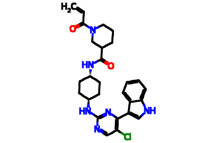 C=CC(=O)N1CCCC(C(=O)N[C@H]2CC[C@H](Nc3ncc(Cl)c(-c4c[nH]c5ccccc45)n3)CC2)C1